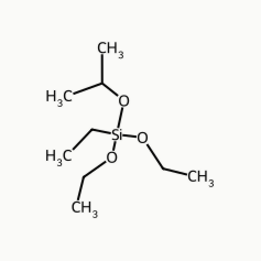 CCO[Si](CC)(OCC)OC(C)C